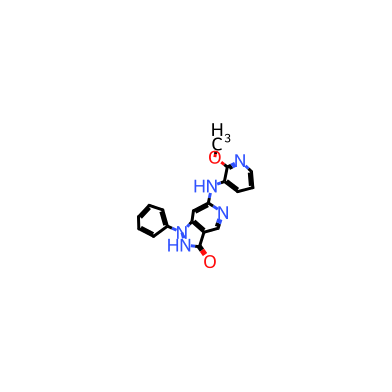 COc1ncccc1Nc1cc2c(cn1)c(=O)[nH]n2-c1ccccc1